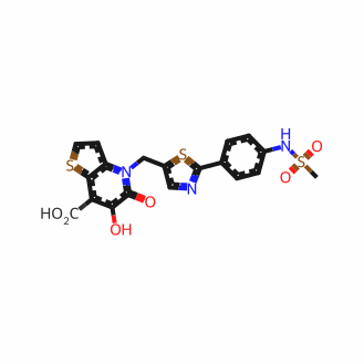 CS(=O)(=O)Nc1ccc(-c2ncc(Cn3c(=O)c(O)c(C(=O)O)c4sccc43)s2)cc1